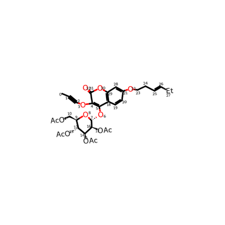 CC#COc1c(O[C@H]2O[C@H](COC(C)=O)[C@@H](OC(C)=O)[C@H](OC(C)=O)[C@@H]2OC(C)=O)c2ccc(OCC/C=C/CC)cc2oc1=O